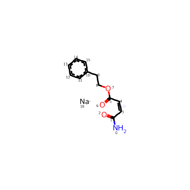 NC(=O)/C=C\C(=O)OCCc1ccccc1.[Na]